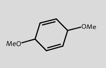 COC1C=CC(OC)C=C1